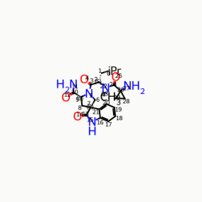 CC(C)C[C@@H](C(=O)N1C[C@]2(C[C@H]1C(N)=O)C(=O)Nc1ccccc12)N(C)C(=O)C1(N)CC1